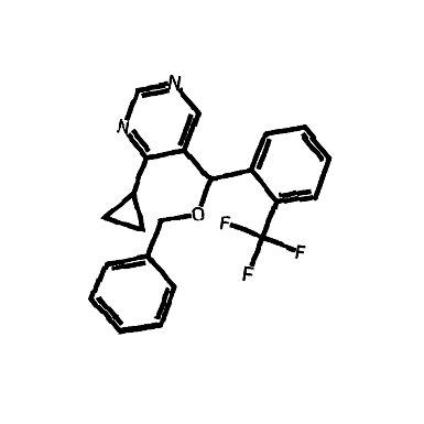 FC(F)(F)c1ccccc1C(OCc1ccccc1)c1cncnc1C1CC1